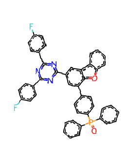 O=P(c1ccccc1)(c1ccccc1)c1ccc(-c2cc(-c3nc(-c4ccc(F)cc4)nc(-c4ccc(F)cc4)n3)cc3c2oc2ccccc23)cc1